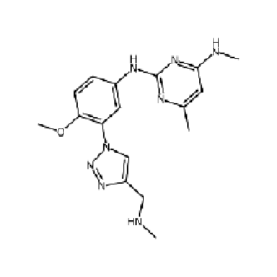 CNCc1cn(-c2cc(Nc3nc(C)cc(NC)n3)ccc2OC)nn1